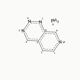 P.c1cc2cnnnc2cn1